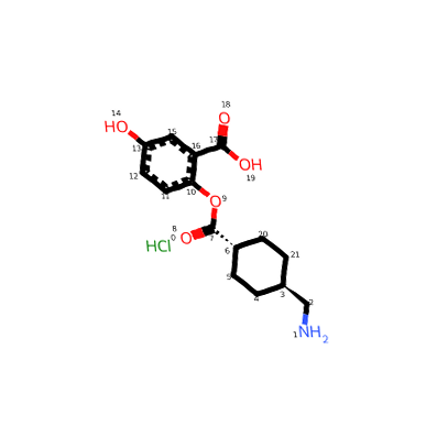 Cl.NC[C@H]1CC[C@H](C(=O)Oc2ccc(O)cc2C(=O)O)CC1